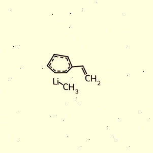 C=Cc1ccccc1.[Li][CH3]